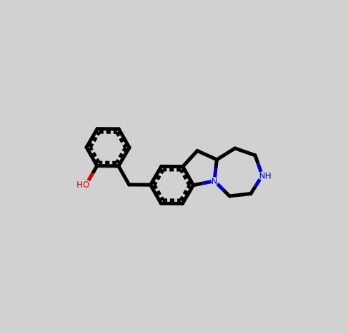 Oc1ccccc1Cc1ccc2c(c1)CC1CCNCCN21